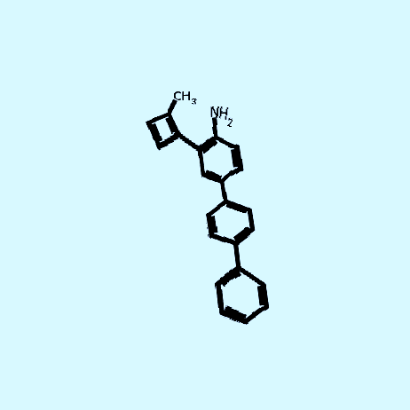 CC1=C(c2cc(-c3ccc(-c4ccccc4)cc3)ccc2N)C=C1